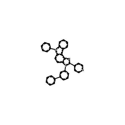 c1ccc(-c2cccc(-n3c(-c4ccncc4)nc4c5c6ccccc6n(-c6ccccc6)c5ccc43)c2)cc1